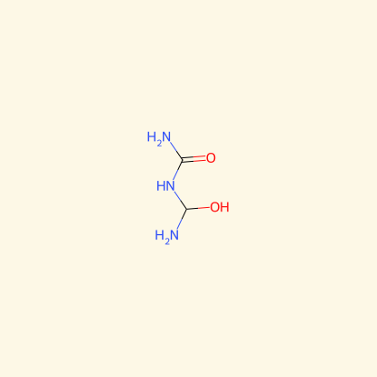 NC(=O)NC(N)O